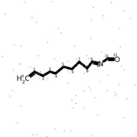 C=CCCCCCCCC=NC=O